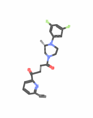 COc1cccc(C(=O)CCC(=O)N2CCN(c3cc(F)cc(F)c3)[C@@H](C)C2)n1